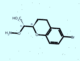 NO[C@H](C(=O)O)[C@H]1CCc2cc(Br)ccc2O1